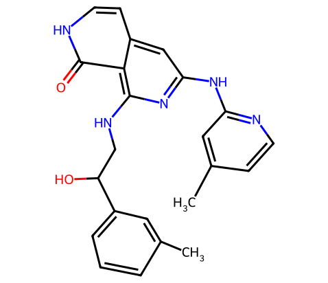 Cc1cccc(C(O)CNc2nc(Nc3cc(C)ccn3)cc3cc[nH]c(=O)c23)c1